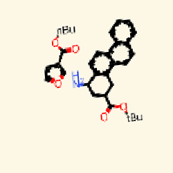 CC(C)(C)OC(=O)C1Cc2c(ccc3c2ccc2ccccc23)C(N)C1.CCCCOC(=O)c1ccoc1